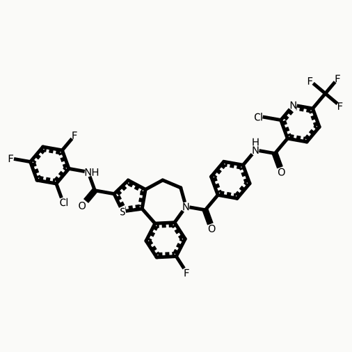 O=C(Nc1c(F)cc(F)cc1Cl)c1cc2c(s1)-c1ccc(F)cc1N(C(=O)c1ccc(NC(=O)c3ccc(C(F)(F)F)nc3Cl)cc1)CC2